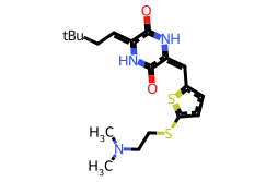 CN(C)CCSc1ccc(C=c2[nH]c(=O)c(=CCC(C)(C)C)[nH]c2=O)s1